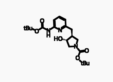 CC(C)(C)OC(=O)Nc1cccc(C[C@H]2CN(C(=O)OC(C)(C)C)C[C@@H]2O)n1